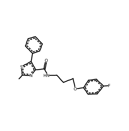 Cc1nc(C(=O)NCCCOc2ccc(F)cc2)c(-c2ccccc2)s1